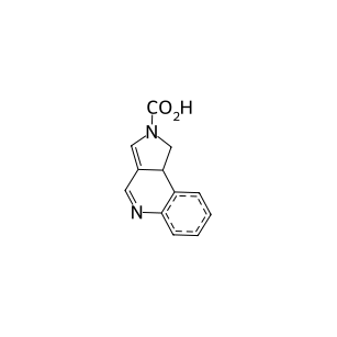 O=C(O)N1C=C2C=Nc3ccccc3C2C1